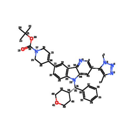 Cc1nnn(C)c1-c1cnc2c3cc(C4=CCN(C(=O)OC(C)(C)C)CC4)ccc3n([C@H](c3ccccc3)C3CCOCC3)c2c1